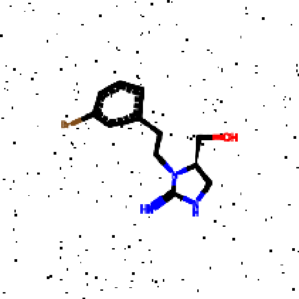 N=C1NC[C@H](CO)N1CCc1cccc(Br)c1